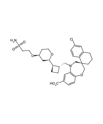 NS(=O)(=O)CCO[C@H]1CCO[C@@H]([C@@H]2CC[C@H]2CN2C[C@@]3(CCCc4cc(Cl)ccc43)COc3ccc(C(=O)O)cc32)C1